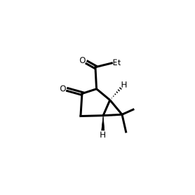 CCC(=O)C1C(=O)C[C@@H]2[C@@H]1C2(C)C